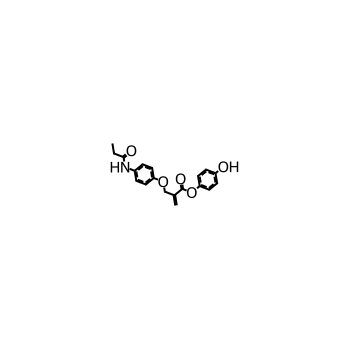 C=C(COc1ccc(NC(=O)CC)cc1)C(=O)Oc1ccc(O)cc1